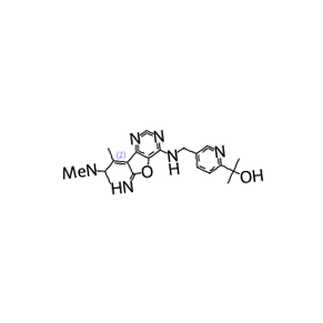 CNC(C)/C(C)=C1\C(=N)Oc2c(NCc3ccc(C(C)(C)O)nc3)ncnc21